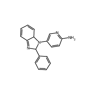 Nc1ccc(N2C3C=CC=CC3=NC2c2ccccc2)cn1